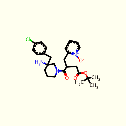 CC(C)(C)OC(=O)CC(Cc1cccc[n+]1[O-])C(=O)N1CCCC(N)(Cc2ccc(Cl)cc2)C1